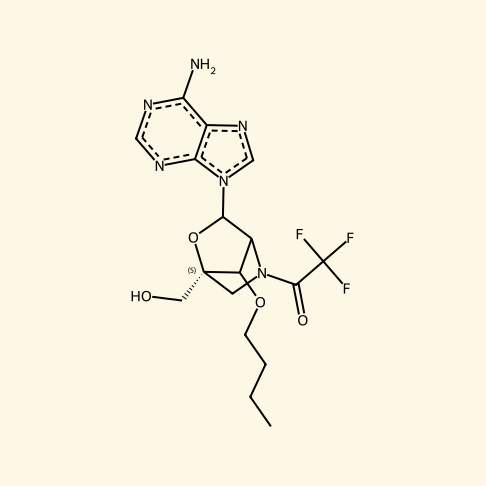 CCCCOC1C2C(n3cnc4c(N)ncnc43)O[C@]1(CO)CN2C(=O)C(F)(F)F